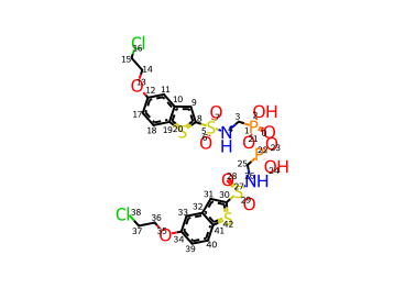 O=P(O)(CNS(=O)(=O)c1cc2cc(OCCCl)ccc2s1)OP(=O)(O)CNS(=O)(=O)c1cc2cc(OCCCl)ccc2s1